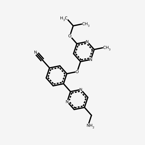 Cc1nc(Oc2cc(C#N)ccc2-c2ncc(CN)cn2)cc(OC(C)C)n1